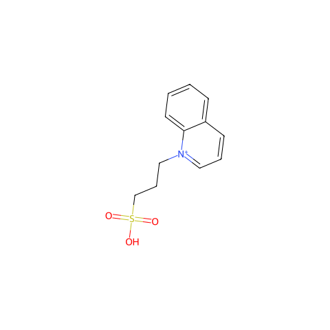 O=S(=O)(O)CCC[n+]1cccc2ccccc21